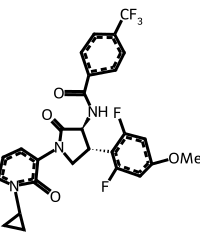 COc1cc(F)c([C@@H]2CN(c3cccn(C4CC4)c3=O)C(=O)[C@H]2NC(=O)c2ccc(C(F)(F)F)cc2)c(F)c1